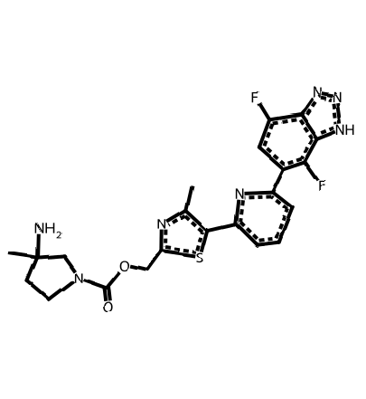 Cc1nc(COC(=O)N2CCC(C)(N)C2)sc1-c1cccc(-c2cc(F)c3nn[nH]c3c2F)n1